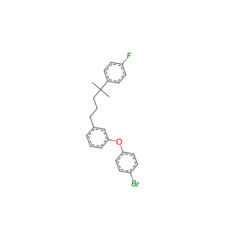 CC(C)(CCCc1cccc(Oc2ccc(Br)cc2)c1)c1ccc(F)cc1